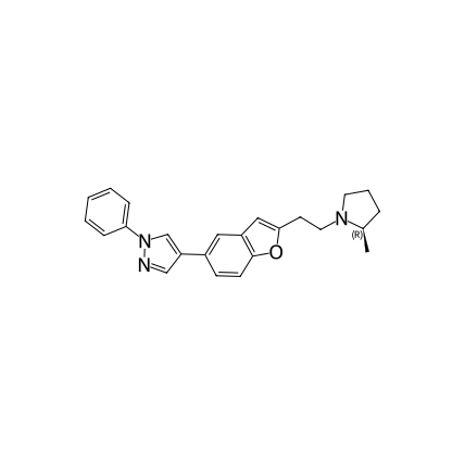 C[C@@H]1CCCN1CCc1cc2cc(-c3cnn(-c4ccccc4)c3)ccc2o1